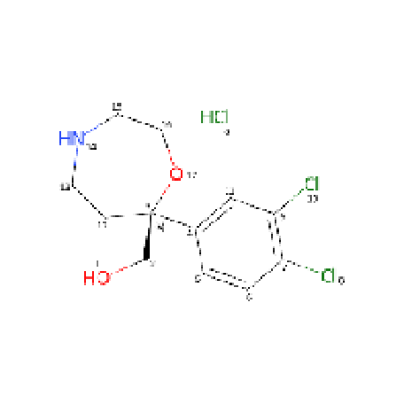 Cl.OC[C@@]1(c2ccc(Cl)c(Cl)c2)CCNCCO1